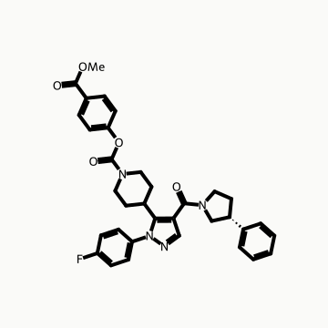 COC(=O)c1ccc(OC(=O)N2CCC(c3c(C(=O)N4CC[C@H](c5ccccc5)C4)cnn3-c3ccc(F)cc3)CC2)cc1